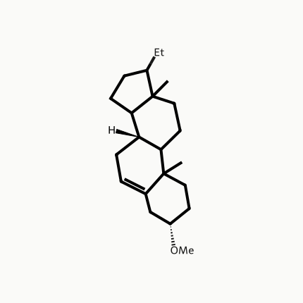 CCC1CCC2[C@H]3CC=C4C[C@@H](OC)CCC4(C)C3CCC12C